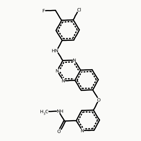 CNC(=O)c1cc(Oc2ccc3nc(Nc4ccc(Cl)c(CF)c4)nnc3c2)ccn1